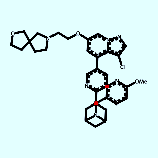 COc1ccc(CN2C3CC2CN(c2ccc(-c4cc(OCCN5CCC6(CCOC6)C5)cn5ncc(Cl)c45)cn2)C3)cn1